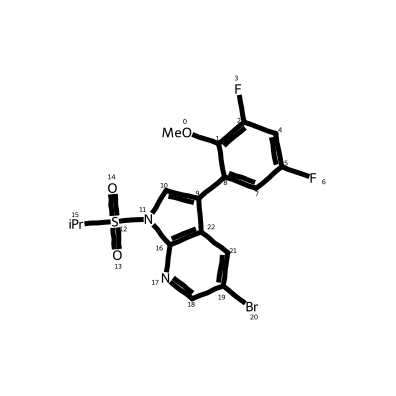 COc1c(F)cc(F)cc1-c1cn(S(=O)(=O)C(C)C)c2ncc(Br)cc12